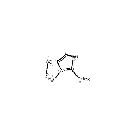 CCCCCCc1[nH]cc[n+]1C.O=[N+]([O-])[O-]